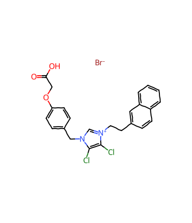 O=C(O)COc1ccc(Cn2c[n+](CCc3ccc4ccccc4c3)c(Cl)c2Cl)cc1.[Br-]